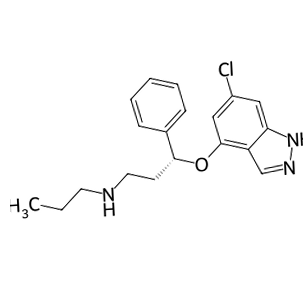 CCCNCC[C@@H](Oc1cc(Cl)cc2[nH]ncc12)c1ccccc1